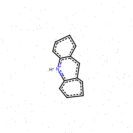 [H+].c1ccc2nc3ccccc3cc2c1